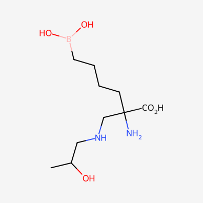 CC(O)CNCC(N)(CCCCB(O)O)C(=O)O